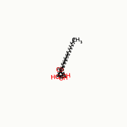 CCCCCCCCCCCCCCCCCCCCOC(=O)c1cc(O)c(O)c(O)c1